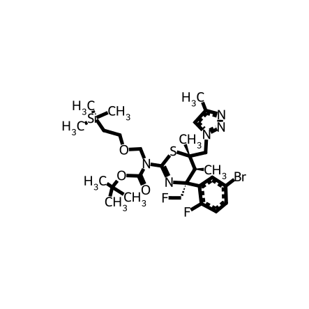 Cc1cn(C[C@@]2(C)SC(N(COCC[Si](C)(C)C)C(=O)OC(C)(C)C)=N[C@](CF)(c3cc(Br)ccc3F)[C@@H]2C)nn1